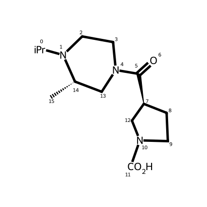 CC(C)N1CCN(C(=O)[C@H]2CCN(C(=O)O)C2)C[C@@H]1C